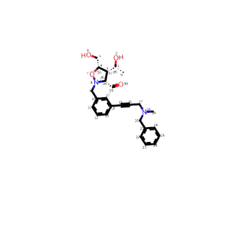 C[C@@H](O)[C@H]1[C@@H](CO)ON(Cc2cccc(C#CCN(C)Cc3ccccc3)c2)[C@H]1C=O